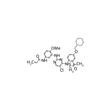 C=CC(=O)Nc1ccc(OC)c(Nc2ncc(Cl)c(Nc3ccc(OCC4CCCCC4)cc3P(C)(C)=O)n2)c1